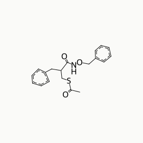 CC(=O)SCC(Cc1ccccc1)C(=O)NOCc1ccccc1